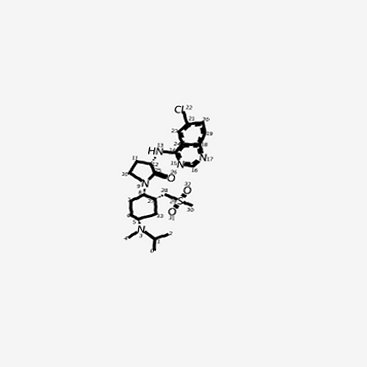 CC(C)N(C)[C@@H]1CC[C@H](N2CC[C@H](Nc3ncnc4ccc(Cl)cc34)C2=O)[C@H](CS(C)(=O)=O)C1